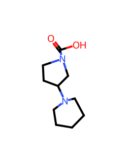 O=C(O)N1CCC(N2CCCCC2)C1